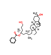 C[C@H](CC[C@](C)(CCCO)OC(=O)c1ccccc1)[C@H]1CC[C@H]2[C@@H]3CC=C4C[C@@](C)(O)CC[C@]4(C)[C@H]3CC[C@]12C